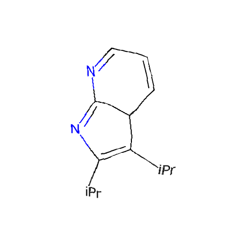 CC(C)C1=C(C(C)C)C2C=CC=NC2=N1